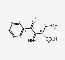 N=C(C(=O)c1ccccc1)[C@H](CO)C(=O)O